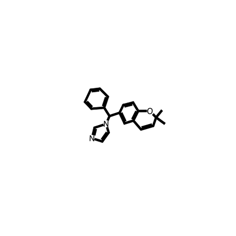 CC1(C)C=Cc2cc(C(c3ccccc3)n3ccnc3)ccc2O1